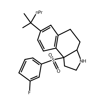 CCCC(C)(C)c1ccc2c(c1)CCC1NCCC21S(=O)(=O)c1cccc(F)c1